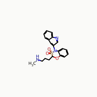 CNCCCC1Oc2ccccc2N(c2cnc3ccccc3c2)S1(=O)=O